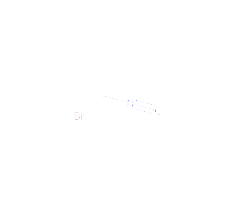 [C-]#[N+]CBr